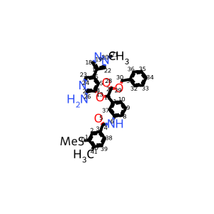 CSc1cc(C(=O)Nc2cccc(C(Oc3cc(-c4cnn(C)c4)cnc3N)C(=O)OCc3ccccc3)c2)ccc1C